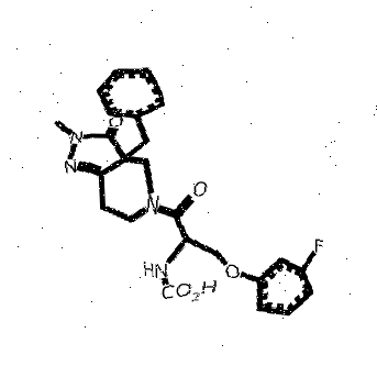 CN1N=C2CCN(C(=O)C(COc3cccc(F)c3)NC(=O)O)CC2(Cc2ccccc2)C1=O